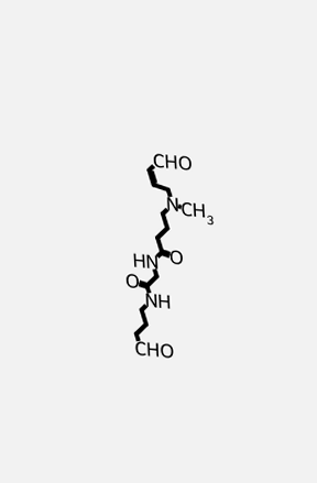 CN(C/C=C\C=O)CCCC(=O)NCC(=O)NCCCC=O